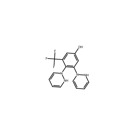 Oc1cc(N2C=CC=CN2)c(N2C=CC=CN2)c(C(F)(F)F)c1